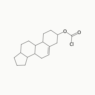 O=C(Cl)OC1CCC2C(=CCC3C4CCCC4CCC23)C1